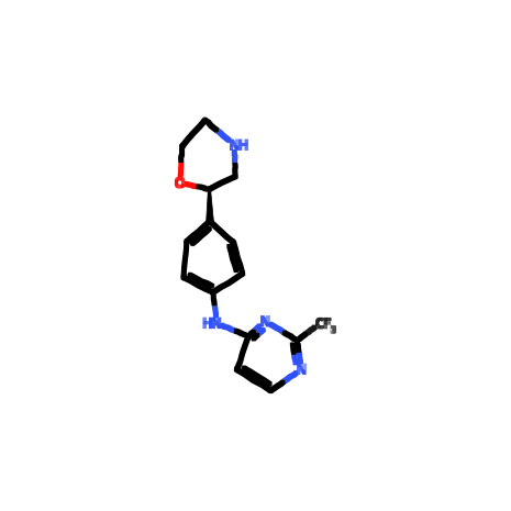 FC(F)(F)c1nccc(Nc2ccc([C@@H]3CNCCO3)cc2)n1